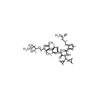 Cc1nn(COCCS(C)(C)C)c(C)c1-c1ccc(NC(=O)C(NC(=O)c2ccnn2CCC[S+](C)[O-])C(C2CC2)C2CC2)cc1